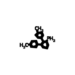 Cc1ccc(-c2cccc(P)c2-c2ccc(C)cc2)cc1